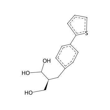 OC[C@H](Cc1ccc(-c2cccs2)cc1)C(O)O